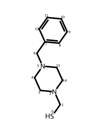 SCN1CCN(Cc2ccccc2)CC1